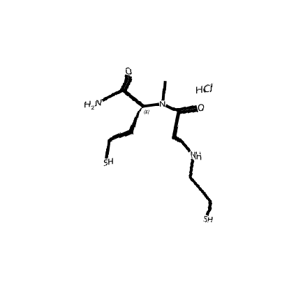 CN(C(=O)CNCCS)[C@@H](CCS)C(N)=O.Cl